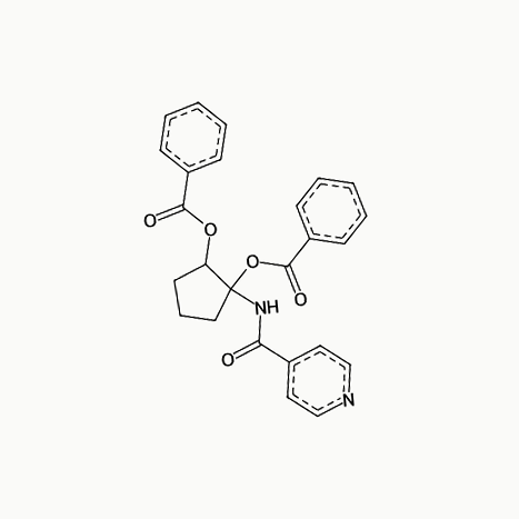 O=C(NC1(OC(=O)c2ccccc2)CCCC1OC(=O)c1ccccc1)c1ccncc1